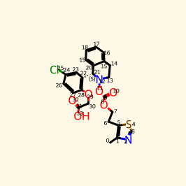 Cc1ncsc1CCOC(=O)ON1CCc2ccccc2[C@H]1c1cc(Cl)ccc1OCC(=O)O